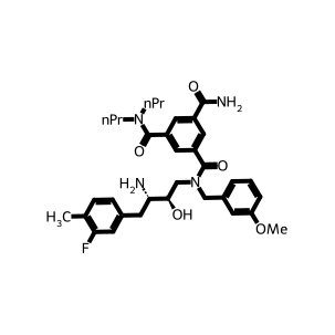 CCCN(CCC)C(=O)c1cc(C(N)=O)cc(C(=O)N(Cc2cccc(OC)c2)C[C@@H](O)[C@@H](N)Cc2ccc(C)c(F)c2)c1